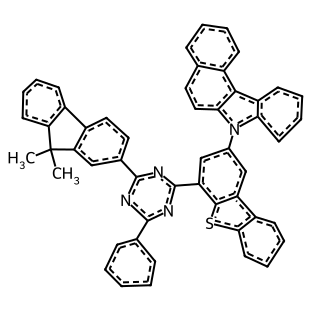 CC1(C)c2ccccc2-c2ccc(-c3nc(-c4ccccc4)nc(-c4cc(-n5c6ccccc6c6c7ccccc7ccc65)cc5c4sc4ccccc45)n3)cc21